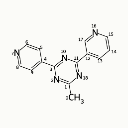 Cc1nc(-c2ccncc2)nc(-c2cccnc2)n1